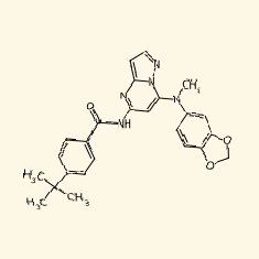 CN(c1ccc2c(c1)OCO2)c1cc(NC(=O)c2ccc(C(C)(C)C)cc2)nc2ccnn12